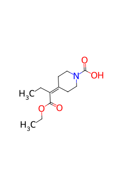 CCOC(=O)C(CC)=C1CCN(C(=O)O)CC1